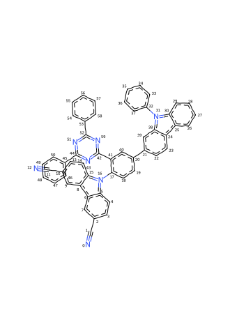 N#Cc1ccc2c(c1)c1cc(C#N)ccc1n2-c1ccc(-c2ccc3c4ccccc4n(-c4ccccc4)c3c2)cc1-c1nc(-c2ccccc2)nc(-c2ccccc2)n1